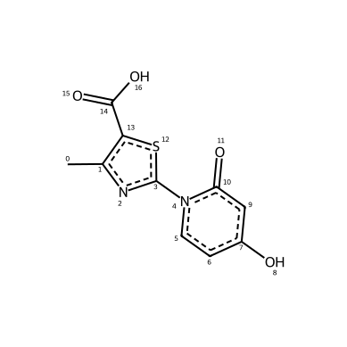 Cc1nc(-n2ccc(O)cc2=O)sc1C(=O)O